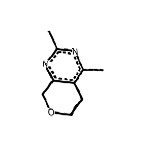 Cc1nc(C)c2c(n1)COCC2